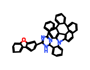 c1ccc(C2=NC(c3ccccc3-n3c4cccc5c4c4c6c(cccc6ccc43)-c3ccccc3-5)NC(c3ccc4c(c3)oc3ccccc34)=N2)cc1